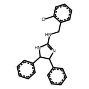 Clc1ccccc1CNC1=NC(c2ccccc2)C(c2ccccc2)N1